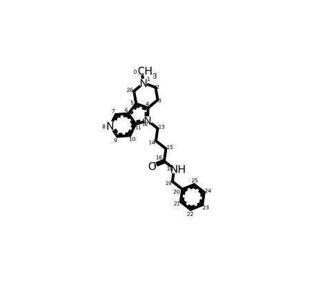 CN1CCc2c(c3cnccc3n2CCCC(=O)NCc2ccccc2)C1